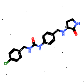 O=C(NCc1ccc(Cl)cc1)Nc1ccc(CN[C@H]2CCNC2=O)cc1